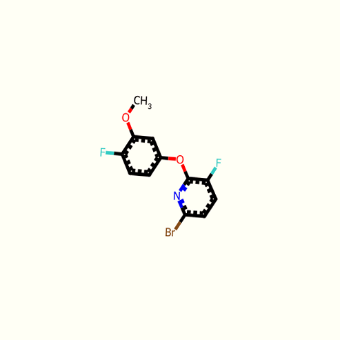 COc1cc(Oc2nc(Br)ccc2F)ccc1F